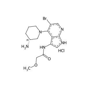 COCC(=O)Nc1c[nH]c2ncc(Br)c(N3CCC[C@@H](N)C3)c12.Cl